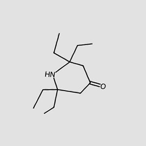 CCC1(CC)CC(=O)CC(CC)(CC)N1